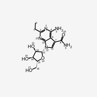 CCc1nc(N)c2c(C(N)=O)cn([C@@H]3O[C@H](CO)[C@@H](O)[C@H]3O)c2n1